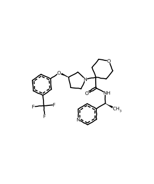 C[C@H](NC(=O)C1(N2CC[C@@H](Oc3cccc(C(F)(F)F)c3)C2)CCOCC1)c1ccncc1